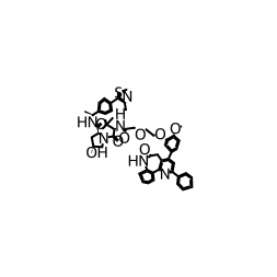 COc1ccc(-c2cc(-c3ccccc3)nc3c2CC(=O)Nc2ccccc2-3)cc1OCCOCC(=O)N[C@H](C(=O)N1C[C@H](O)C[C@H]1C(=O)N[C@@H](C)c1ccc(-c2scnc2C)cc1)C(C)(C)C